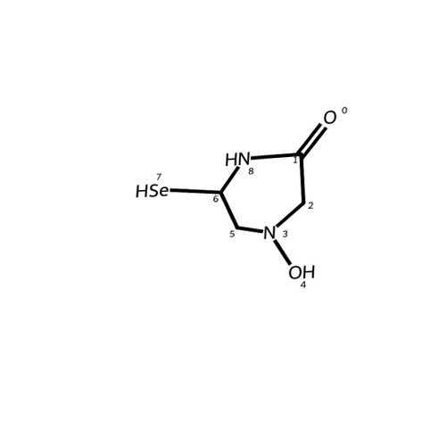 O=C1CN(O)CC([SeH])N1